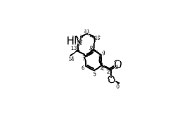 COC(=O)c1ccc2c(c1)CCNC2C